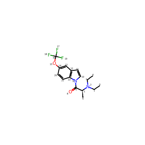 CCN(CC)[C@@H](C)C(=O)n1ccc2cc(OC(F)(F)F)ccc21